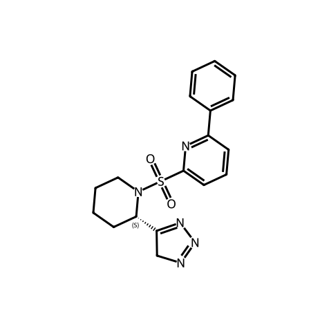 O=S(=O)(c1cccc(-c2ccccc2)n1)N1CCCC[C@H]1C1=NN=NC1